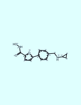 O=C(NO)c1ccc(-c2ccc(CNC3CC3)cc2)o1